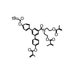 C=C(C)C(=O)OCCN(CCOC(=O)C(=C)C)C(=O)c1cc(-c2ccc(OC(=O)C(=C)C)cc2)cc(-c2ccc(OC(=O)C(C)(C)C)cc2)c1